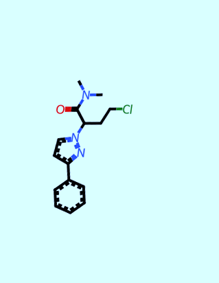 CN(C)C(=O)C(CCCl)n1ccc(-c2ccccc2)n1